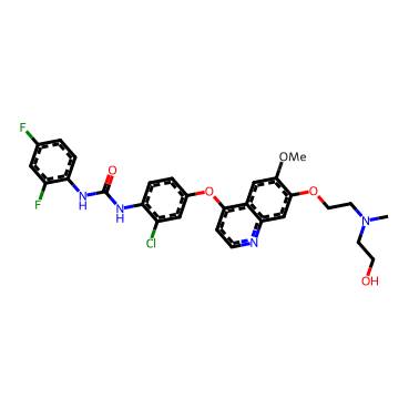 COc1cc2c(Oc3ccc(NC(=O)Nc4ccc(F)cc4F)c(Cl)c3)ccnc2cc1OCCN(C)CCO